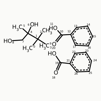 CC(C)(C)C(C)(O)CO.O=C(O)c1ccccc1.O=C(O)c1ccccc1